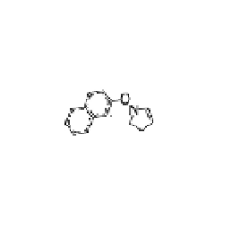 [c]1c(ON2C=CCC2)ccc2ccccc12